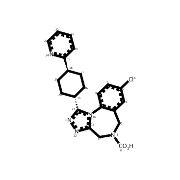 O=C(O)N1Cc2cc(Cl)ccc2-n2c(nnc2[C@H]2CC[C@H](c3ccccn3)CC2)C1